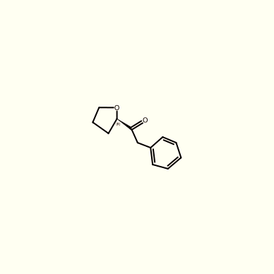 O=C(Cc1ccccc1)[C@H]1CCCO1